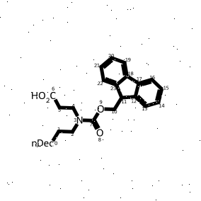 CCCCCCCCCCCCN(CCC(=O)O)C(=O)OCC1c2ccccc2-c2ccccc21